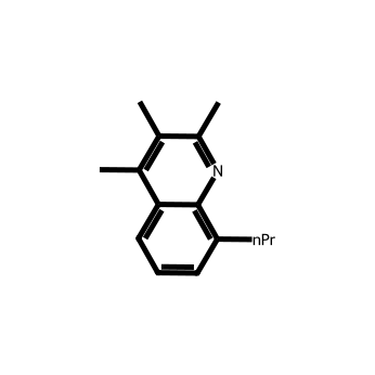 CCCc1cccc2c(C)c(C)c(C)nc12